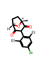 CCc1cc(Br)cc(CC)c1C1C(=O)[C@@H]2CC[C@@](C)(O2)C1=O